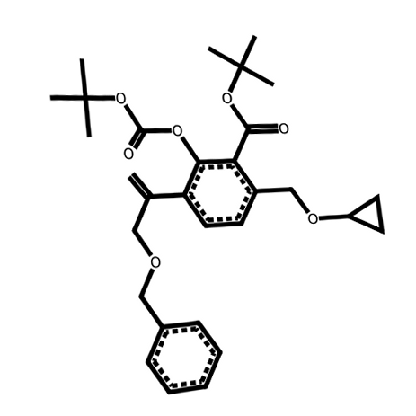 C=C(COCc1ccccc1)c1ccc(COC2CC2)c(C(=O)OC(C)(C)C)c1OC(=O)OC(C)(C)C